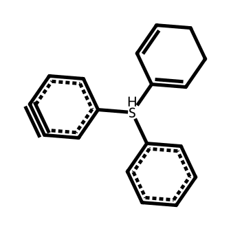 c1ccc([SH](C2=CCCC=C2)c2ccccc2)cc#1